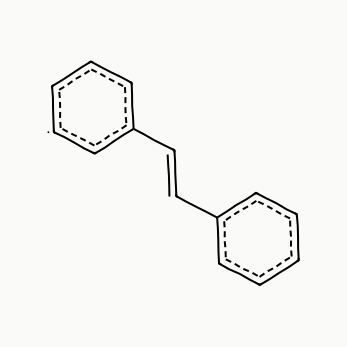 [c]1cccc(/C=C/c2ccccc2)c1